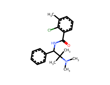 Cc1cccc(C(=O)NC(c2ccccc2)C(C)(C)N(C)C)c1Cl